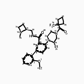 CCOc1ncccc1-c1ccc(N2CCN(C(=O)C3(C(F)(F)F)CCC3)C[C@H]2CC)c(C(=O)NC[C@@H]2CCN2C)n1